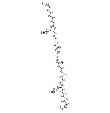 CCCCCCCCC(CCCCCCCCC(=O)OCCCOC(=O)CCCCCCCCC(CCCCCCCC)SCCO)SCCO